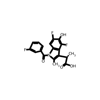 Cc1c([C@@H](C)C(=O)O)c2c(F)c(O)c(F)cc2n1C(=O)c1cccc(F)c1